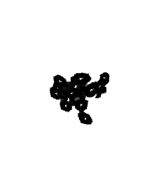 CC1(C)c2ccccc2-c2ccc(N(c3ccc(-c4ccccc4)cc3)c3c4c5c6c7c3Sc3ccccc3B7c3cccc7c8cccc(c8n-6c37)B5c3ccccc3S4)cc21